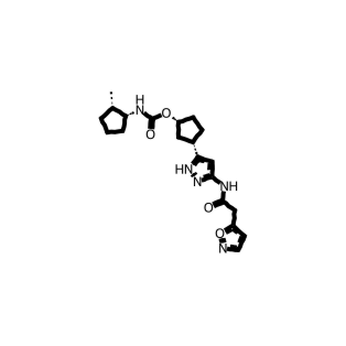 C[C@H]1CCC[C@H]1NC(=O)O[C@@H]1CC[C@H](c2cc(NC(=O)Cc3ccno3)n[nH]2)C1